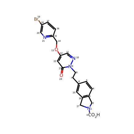 O=C(O)N1Cc2ccc(CCn3ncc(OCc4ccc(Br)cn4)cc3=O)cc2C1